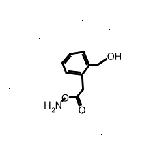 NOC(=O)Cc1ccccc1CO